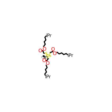 [CH3][Sn][S](CC(=O)OCCCCCC(C)C)(SCC(=O)OCCCCCC(C)C)SCC(=O)OCCCCCC(C)C